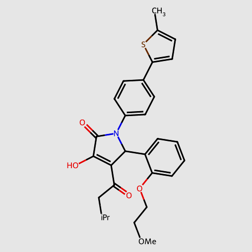 COCCOc1ccccc1C1C(C(=O)CC(C)C)=C(O)C(=O)N1c1ccc(-c2ccc(C)s2)cc1